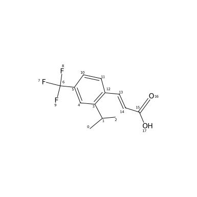 CC(C)c1cc(C(F)(F)F)ccc1C=CC(=O)O